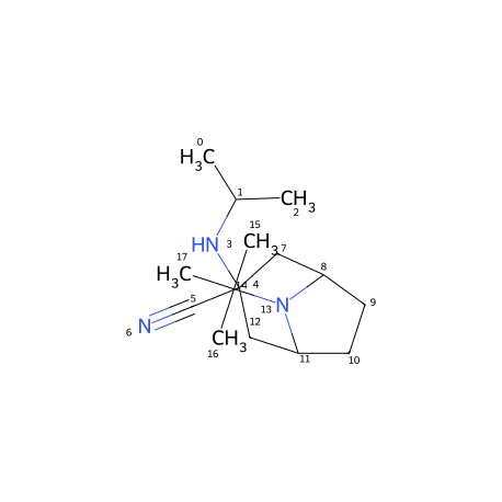 CC(C)NC1(C#N)CC2CCC(C1)N2C(C)(C)C